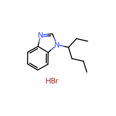 Br.CCCC(CC)n1cnc2ccccc21